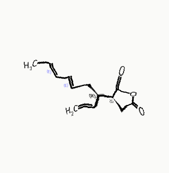 C=C[C@@H](C/C=C/C=C/C)[C@@H]1CC(=O)OC1=O